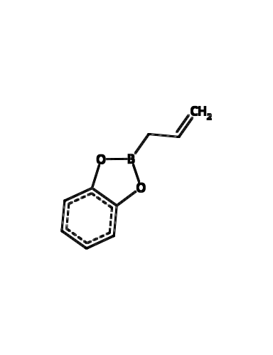 C=CCB1Oc2ccccc2O1